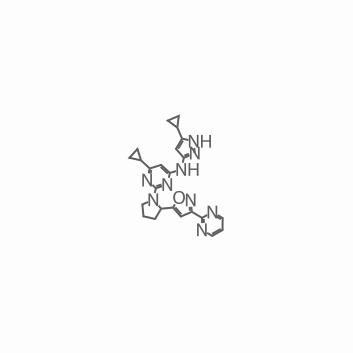 c1cnc(-c2cc(C3CCCN3c3nc(Nc4cc(C5CC5)[nH]n4)cc(C4CC4)n3)on2)nc1